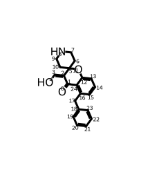 O=C1C(=CO)C2(CCNCC2)Oc2cccc(Cc3ccccc3)c21